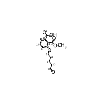 COC(=O)c1c(OCCCCC=O)cccc1C(=O)O